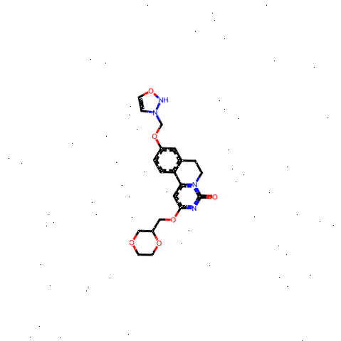 O=c1nc(OCC2COCCO2)cc2n1CCc1cc(OCN3C=CON3)ccc1-2